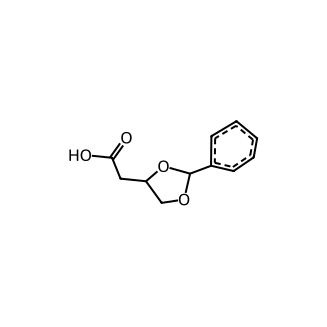 O=C(O)CC1COC(c2ccccc2)O1